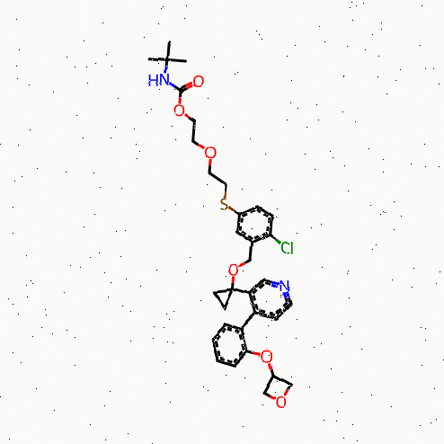 CC(C)(C)NC(=O)OCCOCCSc1ccc(Cl)c(COC2(c3cnccc3-c3ccccc3OC3COC3)CC2)c1